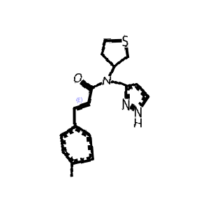 Cc1ccc(/C=C/C(=O)N(c2cc[nH]n2)C2CCSC2)cc1